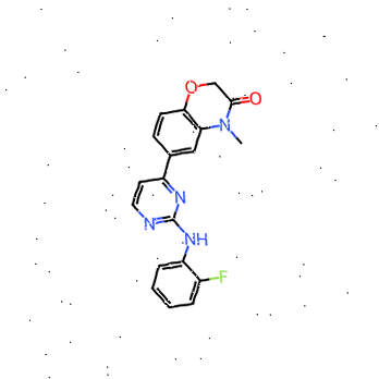 CN1C(=O)COc2ccc(-c3ccnc(Nc4ccccc4F)n3)cc21